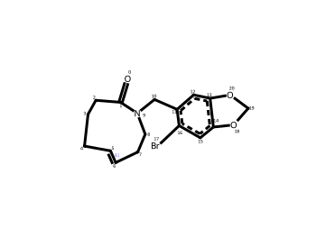 O=C1CCC/C=C/CCN1Cc1cc2c(cc1Br)OCO2